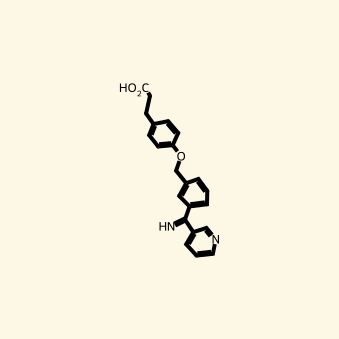 N=C(c1cccnc1)c1cccc(COc2ccc(CCC(=O)O)cc2)c1